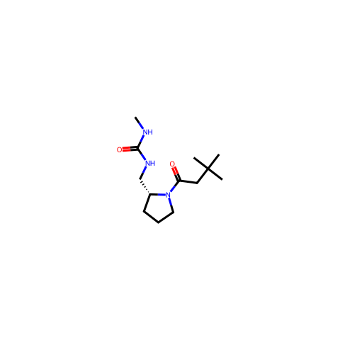 CNC(=O)NC[C@H]1CCCN1C(=O)CC(C)(C)C